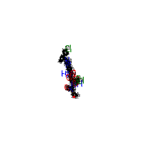 CC1(C)CCC(c2ccc(Cl)cc2)=C(CN2CCN(c3ccc(C(=O)NS(=O)(=O)c4ccc(NCCC(CSc5ccccc5)N5CCOCC5)c(S(=O)(=O)C(F)(F)Cl)c4)cc3)CC2)C1